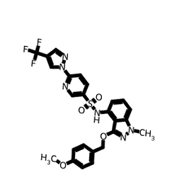 COc1ccc(COc2nn(C)c3cccc(NS(=O)(=O)c4ccc(-n5cc(C(F)(F)F)cn5)nc4)c23)cc1